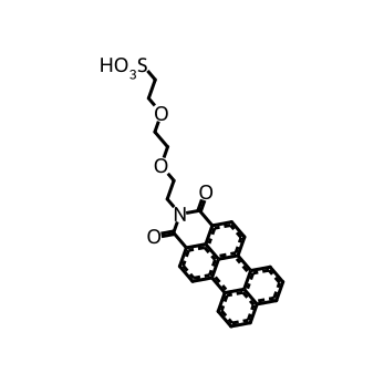 O=C1c2ccc3c4cccc5cccc(c6ccc(c2c36)C(=O)N1CCOCCOCCS(=O)(=O)O)c54